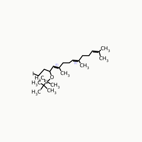 CC(C)=CCC/C(C)=C/CC/C(C)=C/C(CCI)O[Si](C)(C)C(C)(C)C